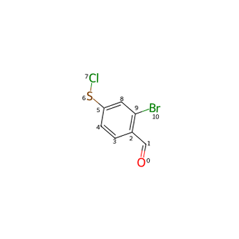 O=Cc1ccc(SCl)cc1Br